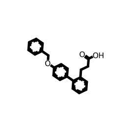 O=C(O)CCc1ccccc1-c1ccc(OCc2ccccc2)cc1